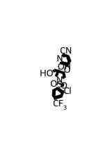 N#Cc1ccc(O[C@H]2CN(S(=O)(=O)c3ccc(C(F)(F)F)cc3Cl)C[C@@]2(O)CO)cn1